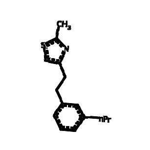 CCCc1cccc(CCc2csc(C)n2)c1